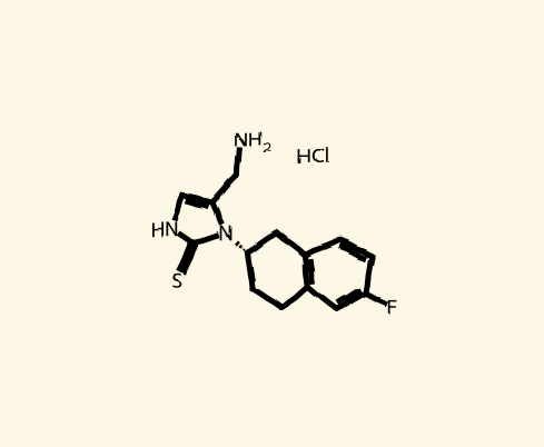 Cl.NCc1c[nH]c(=S)n1[C@H]1CCc2cc(F)ccc2C1